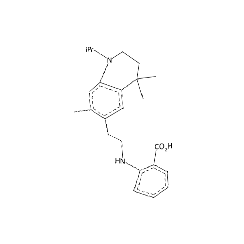 Cc1cc2c(cc1CCNc1ccccc1C(=O)O)C(C)(C)CCN2C(C)C